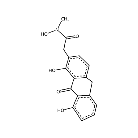 CN(O)C(=O)Cc1ccc2c(c1O)C(=O)c1c(O)cccc1C2